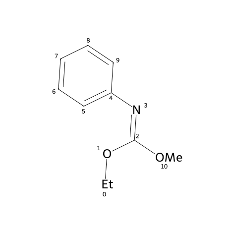 CCOC(=Nc1ccccc1)OC